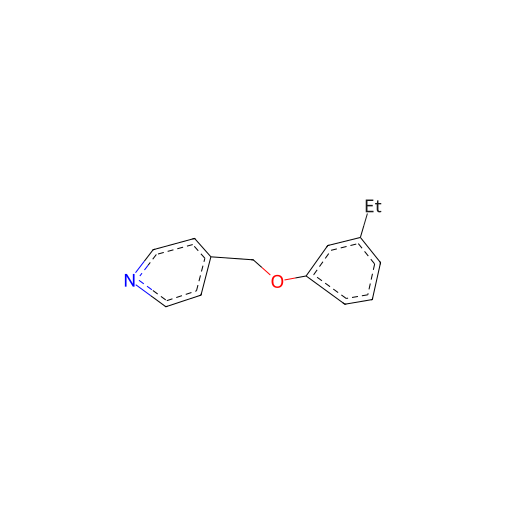 CCc1cccc(OCc2ccncc2)c1